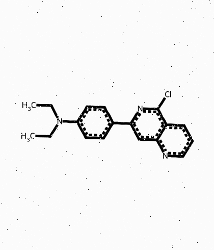 CCN(CC)c1ccc(-c2cc3ncccc3c(Cl)n2)cc1